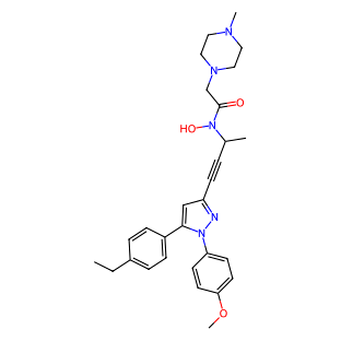 CCc1ccc(-c2cc(C#CC(C)N(O)C(=O)CN3CCN(C)CC3)nn2-c2ccc(OC)cc2)cc1